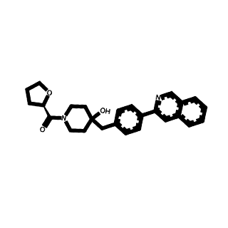 O=C([C@H]1CCCO1)N1CCC(O)(Cc2ccc(-c3cc4ccccc4cn3)cc2)CC1